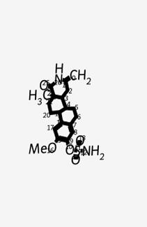 C=C1CC2C3CCc4cc(OS(N)(=O)=O)c(OC)cc4C3CC[C@]2(C)C(=O)N1